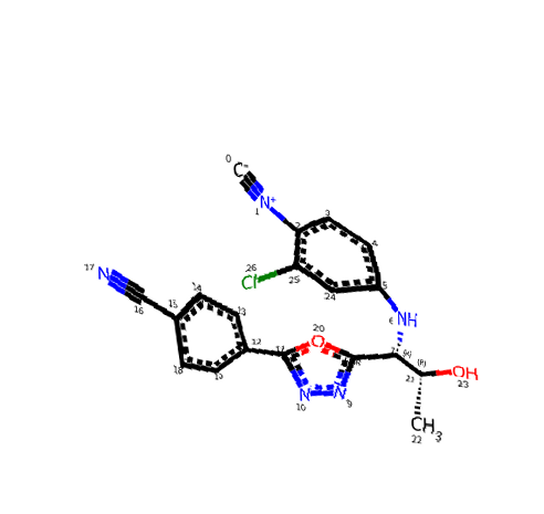 [C-]#[N+]c1ccc(N[C@@H](c2nnc(-c3ccc(C#N)cc3)o2)[C@@H](C)O)cc1Cl